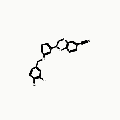 N#Cc1ccc2c(c1)OCC(c1cccc(OCc3ccc(Cl)c(Cl)c3)c1)O2